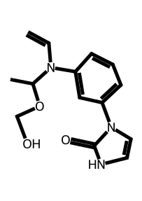 C=CN(c1cccc(-n2cc[nH]c2=O)c1)C(C)OCO